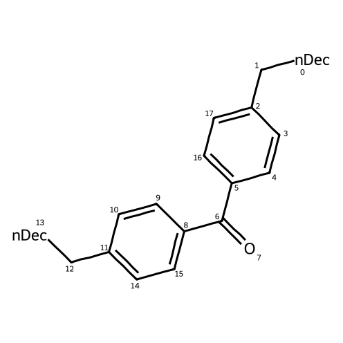 CCCCCCCCCCCc1ccc(C(=O)c2ccc(CCCCCCCCCCC)cc2)cc1